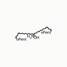 CCCCC/C=C\C/C=C\CCCCCCCCC(N)(CO)CCCCCCCC/C=C\C/C=C\CCCCC